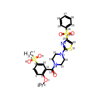 CC(C)Oc1ccc(S(C)(=O)=O)cc1C(=O)N1CCN(c2nc(S(=O)(=O)c3ccccc3)cs2)CC1